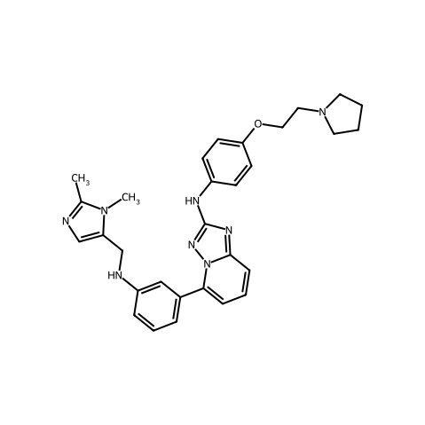 Cc1ncc(CNc2cccc(-c3cccc4nc(Nc5ccc(OCCN6CCCC6)cc5)nn34)c2)n1C